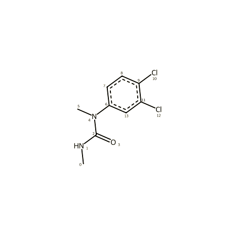 CNC(=O)N(C)c1ccc(Cl)c(Cl)c1